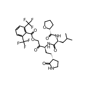 CC(C)C[C@H](NC(=O)[C@H]1CCCO1)C(=O)N[C@@H](CC[C@@H]1CCNC1=O)C(=O)COC(=O)c1c(C(F)(F)F)cccc1C(F)(F)F